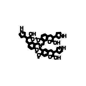 COc1ccc(CC(C(=O)O)C2CCNC2)cc1CN(Cc1cc(CC(C(=O)O)C2CCNC2)ccc1OC)Cc1cc(CC(C(=O)O)C2CCNC2)ccc1OC